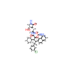 CC(C)(c1cccc(Cl)c1)C(c1ccc2ccccc2c1)C(C1CCCCC1)[C@H](OC(N)=O)C(=O)N[C@H](CO)C[C@@H]1CCNC1=O